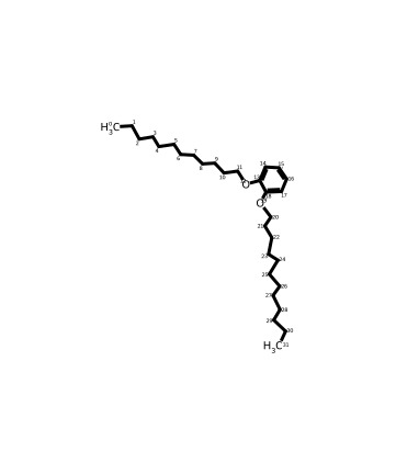 CCCCCCCCCCCCOc1c[c]ccc1OCCCCCCCCCCCC